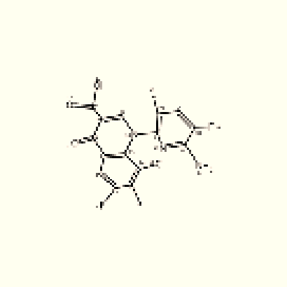 Cc1c(F)cc2c(=O)c(C(=O)O)cn(-c3nc(N)c(F)cc3F)c2c1Cl